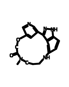 CN1CCCNc2ccc3[nH]nc(c3c2)-c2cncc(c2)OCC1=O